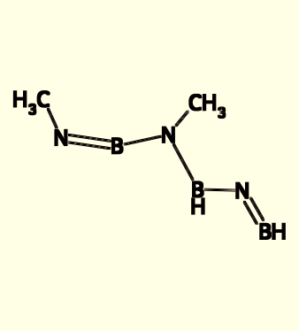 B=NBN(C)/B=N\C